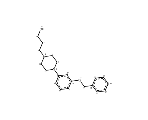 OCCCN1CCN(c2cccc(OCc3ccncc3)n2)CC1